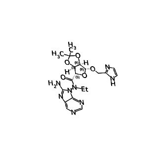 CCN(C(=O)[C@H]1O[C@@H](OCc2ncc[nH]2)[C@@H]2OC(C)(C)O[C@@H]21)n1c(N)nc2cncnc21